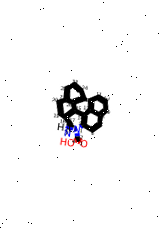 CN(C(=O)O)c1ccc2ccccc2c1-c1c(C#N)ccc2ccccc12